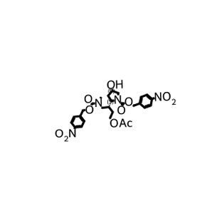 CC(=O)OCCC(CN(C)C(=O)OCc1ccc([N+](=O)[O-])cc1)[C@@H]1C[C@@H](O)CN1C(=O)OCc1ccc([N+](=O)[O-])cc1